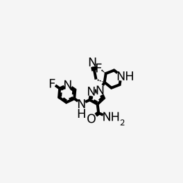 N#CC[C@@]1(n2cc(C(N)=O)c(Nc3ccc(F)nc3)n2)CCNC[C@H]1F